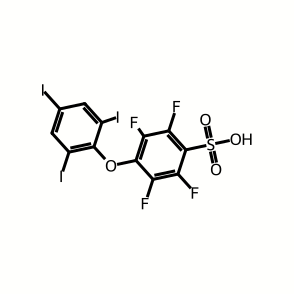 O=S(=O)(O)c1c(F)c(F)c(Oc2c(I)cc(I)cc2I)c(F)c1F